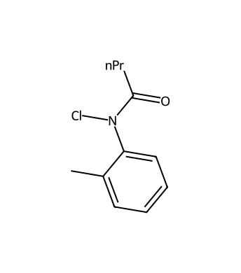 CCCC(=O)N(Cl)c1ccccc1C